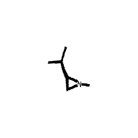 CC(C)C1CN1C